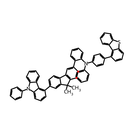 CC1(C)c2ccc(-c3ccccc3N(c3ccccc3)c3ccc(-c4cccc5sc6ccccc6c45)cc3)cc2-c2ccc(-c3cccc4c3c3ccccc3n4-c3ccccc3)cc21